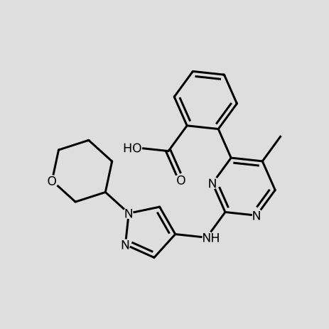 Cc1cnc(Nc2cnn(C3CCCOC3)c2)nc1-c1ccccc1C(=O)O